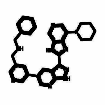 c1ccc(CNCc2cncc(-c3cnc4[nH]nc(-c5nc6c(N7CCCCC7)cncc6[nH]5)c4c3)c2)cc1